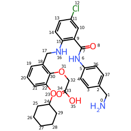 NCc1ccc(NC(=O)c2cc(Cl)ccc2NCc2cccc(OC3CCCCC3)c2OCC(=O)O)cc1